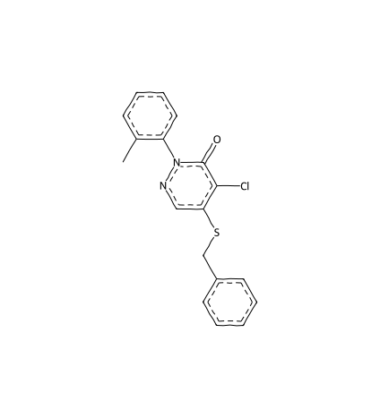 Cc1ccccc1-n1ncc(SCc2ccccc2)c(Cl)c1=O